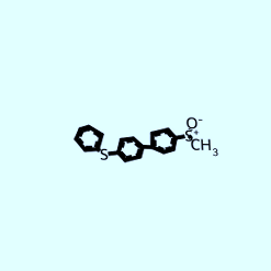 C[S+]([O-])c1ccc(-c2ccc(Sc3ccccc3)cc2)cc1